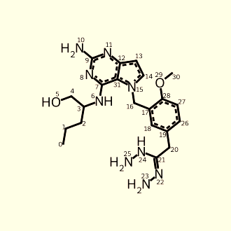 CCCC(CO)Nc1nc(N)nc2ccn(Cc3cc(C/C(=N/N)NN)ccc3OC)c12